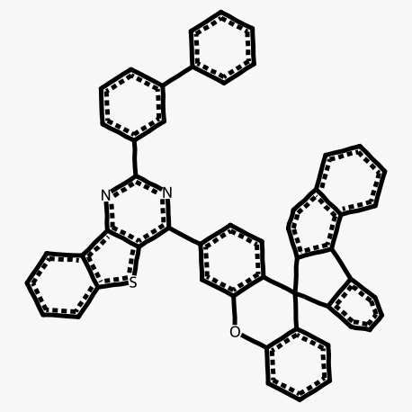 c1ccc(-c2cccc(-c3nc(-c4ccc5c(c4)Oc4ccccc4C54c5ccccc5-c5c4ccc4ccccc54)c4sc5ccccc5c4n3)c2)cc1